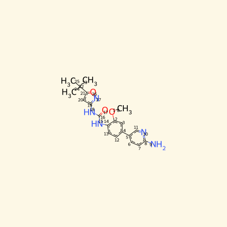 COc1cc(-c2ccc(N)nc2)ccc1NC(=O)Nc1cc(C(C)(C)C)on1